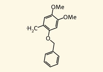 [CH2]c1cc(OC)c(OC)cc1OCc1ccccc1